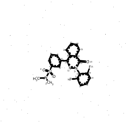 CN(C)S(=O)(=O)c1cccc(-c2nn(-c3c(F)cccc3F)c(=O)c3ccccc23)c1